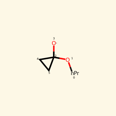 CCCOC1([O])CC1